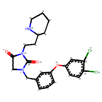 O=C1CN(Cc2cccc(Oc3ccc(Cl)c(Cl)c3)c2)C(=O)N1CCC1CCCCN1